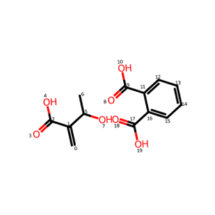 C=C(C(=O)O)C(C)O.O=C(O)c1ccccc1C(=O)O